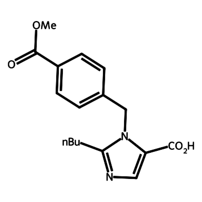 CCCCc1ncc(C(=O)O)n1Cc1ccc(C(=O)OC)cc1